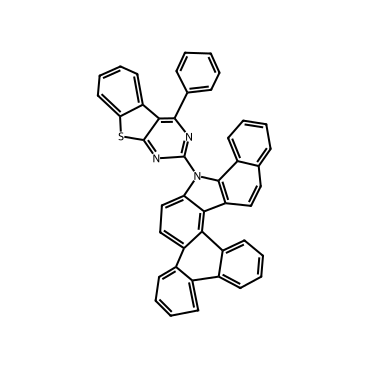 c1ccc(-c2nc(-n3c4ccc5c6ccccc6c6ccccc6c5c4c4ccc5ccccc5c43)nc3sc4ccccc4c23)cc1